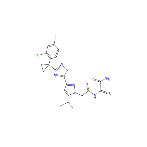 C=C(NC(=O)Cn1nc(-c2nc(C3(c4ccc(F)cc4Cl)CC3)no2)cc1C(F)F)C(N)=O